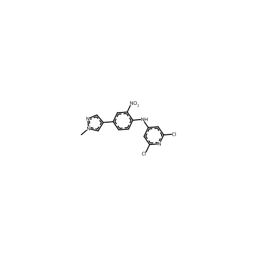 Cn1cc(-c2ccc(Nc3cc(Cl)nc(Cl)c3)c([N+](=O)[O-])c2)cn1